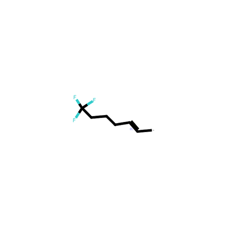 [CH2]/C=C/CCCC(F)(F)F